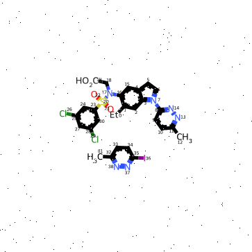 CCc1cc2c(ccn2-c2ccc(C)nn2)cc1N(CC(=O)O)S(=O)(=O)c1cc(Cl)cc(Cl)c1.Cc1ccc(I)nn1